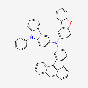 C1=CC2Oc3ccc(N(c4ccc5c(c4)-c4c6ccccc6cc6cccc-5c46)c4ccc5c(c4)c4ccccc4n5-c4ccccc4)cc3C2C=C1